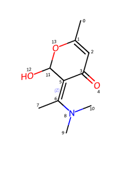 CC1=CC(=O)/C(=C(/C)N(C)C)C(O)O1